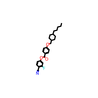 CCCCCC1CCC(COc2ccc(C(=O)Oc3ccc(C#N)c(F)c3)cc2)CC1